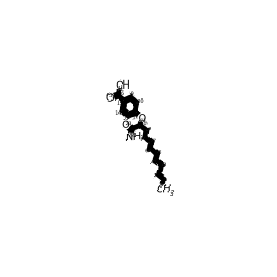 CCCCCCCCCCC(Oc1ccc(C(=O)O)cc1)C([NH])=O